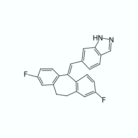 Fc1ccc2c(c1)CCc1cc(F)ccc1C2=Cc1ccc2cn[nH]c2c1